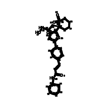 O=C(C=Cc1ccc(-c2ccc([C@@]3(CC(=O)NO)CCCCS3(=O)=O)s2)cc1)Nc1ccccc1